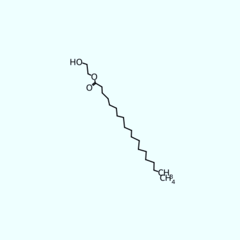 C.CCCCCCCCCCCCCCCCCC(=O)OCCO